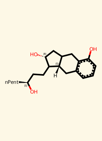 CCCCC[C@H](O)CCC1[C@H]2Cc3cccc(O)c3CC2C[C@H]1O